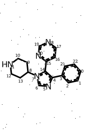 c1ccc(-c2ncn(C3CCNCC3)c2-c2ccncn2)cc1